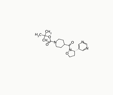 CC(C)(C)OC(=O)N1CCC(C(=O)N2OCC[C@H]2c2cncnc2)CC1